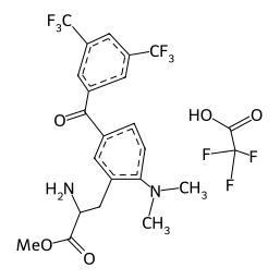 COC(=O)C(N)Cc1cc(C(=O)c2cc(C(F)(F)F)cc(C(F)(F)F)c2)ccc1N(C)C.O=C(O)C(F)(F)F